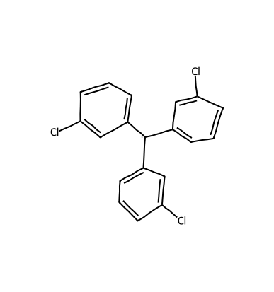 Clc1cccc([C](c2cccc(Cl)c2)c2cccc(Cl)c2)c1